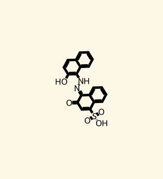 O=C1C=C(S(=O)(=O)O)c2ccccc2/C1=N\Nc1c(O)ccc2ccccc12